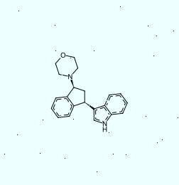 c1ccc2c(c1)[C@H](c1c[nH]c3ccccc13)C[C@@H]2N1CCOCC1